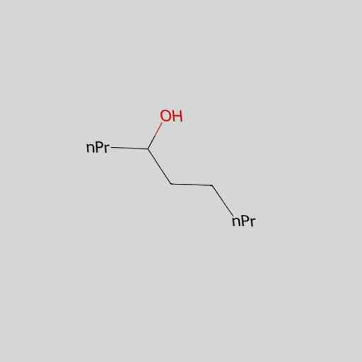 C[CH]CC(O)CCCCC